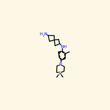 Cc1cc(N2CC[Si](C)(C)CC2)ccc1NC1CC2(CC(N)C2)C1